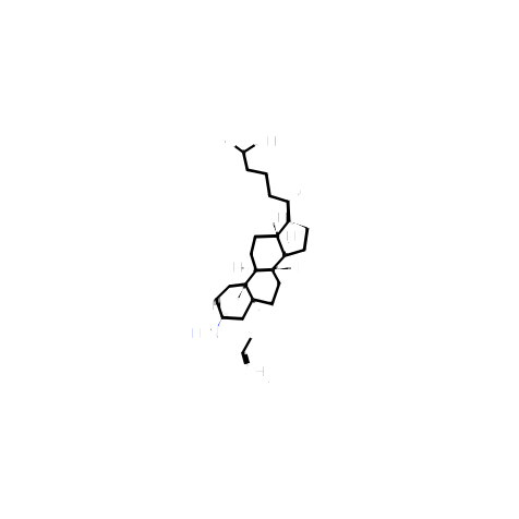 C=CC[C@@H]1[C@@H](N)CC[C@@]2(C)[C@H]1CC[C@@H]1[C@@H]2CC[C@]2(C)[C@@H]([C@@H](C)CCCC(C)C)CC[C@@H]12